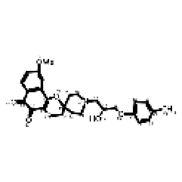 COc1ccc2c(c1)C1=C(SCC3(CCN(C[C@H](O)COc4ccc(C)cc4)CC3)O1)C(=O)C2=O